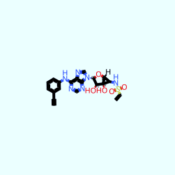 C#Cc1cccc(Nc2ncnc3c2ncn3[C@@H]2O[C@@H]3C(NS(=O)(=O)C=C)[C@]3(O)[C@H]2O)c1